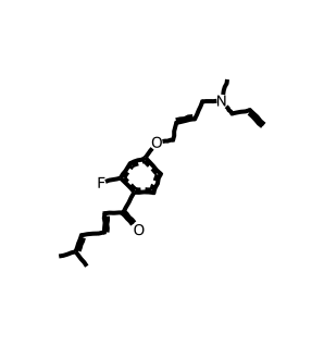 C=CCN(C)C/C=C/COc1ccc(C(=O)/C=C/C=C(C)C)c(F)c1